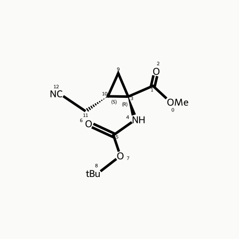 COC(=O)[C@@]1(NC(=O)OC(C)(C)C)C[C@H]1CC#N